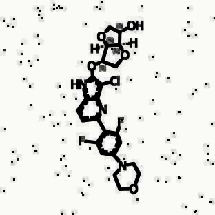 O[C@@H]1CO[C@H]2[C@@H]1OC[C@H]2Oc1[nH]c2ccc(-c3c(F)cc(N4CCOCC4)cc3F)nc2c1Cl